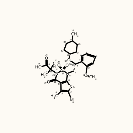 COc1ccccc1[C@H](CN1c2sc(Br)c(C)c2C(=O)N(C(C)(C)C(=O)O)S1(=O)=O)O[C@H]1CC[C@@H](C)CC1